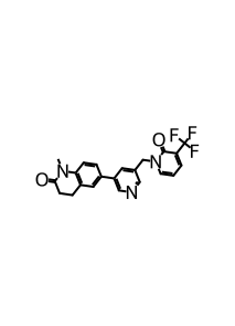 CN1C(=O)CCc2cc(-c3cncc(Cn4cccc(C(F)(F)F)c4=O)c3)ccc21